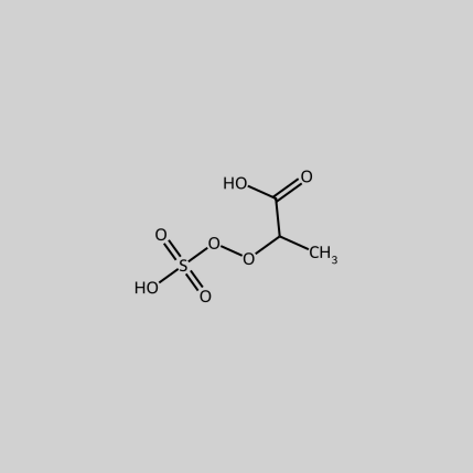 CC(OOS(=O)(=O)O)C(=O)O